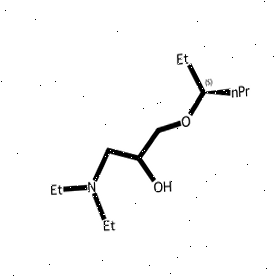 CCC[C@H](CC)OCC(O)CN(CC)CC